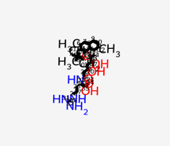 C=C(O[C@H]1C[C@@H](C)C=C2C=C[C@H](C)[C@H](CC[C@@H](O)C[C@@H](O)CC(=O)N[C@H](CCCNC(=N)N)C(=O)O)C21)C(C)(C)CC